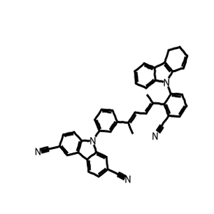 C/C(=C\C=C(/C)c1c(C#N)cccc1-n1c2c(c3ccccc31)CCC=C2)c1cccc(-n2c3ccc(C#N)cc3c3ccc(C#N)cc32)c1